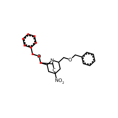 O=[N+]([O-])C12CC(COCc3ccccc3)N(C(COCc3ccccc3)C1)C(COCc1ccccc1)C2